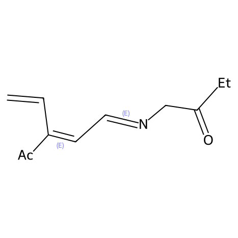 C=C/C(=C\C=N\CC(=O)CC)C(C)=O